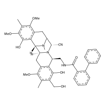 COc1c(C)c(OC)c2c(c1O)[C@H]1[C@@H]3Cc4c(OC)c(C)c(CO)c(O)c4[C@H](CNC(=O)c4ccccc4-c4ccccc4)N3[C@@H](C#N)C(C2)N1C